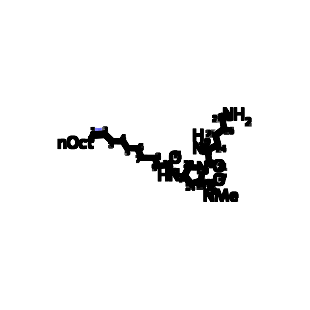 CCCCCCCC/C=C\CCCCCCCC(=O)N[C@H]1C[C@@H](C(=O)NC)N(C(=O)C(N)CCCCN)C1